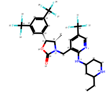 CCC1CC(Nc2ncc(C(F)(F)F)cc2CN2C(=O)O[C@H](c3cc(C(F)(F)F)cc(C(F)(F)F)c3)[C@@H]2C)CCN1